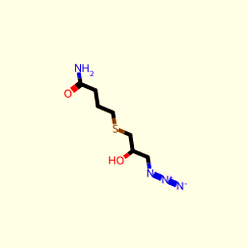 [N-]=[N+]=NCC(O)CSCCCC(N)=O